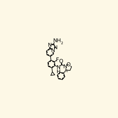 Nc1nc2ccc(-c3ccc(C4CC4)c(NC(=O)N4OCC[C@H]4c4ccccc4)c3F)cn2n1